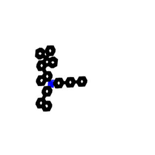 c1ccc(-c2ccc(-c3ccc(N(c4ccc(-c5cccc6ccccc56)cc4)c4ccc(-c5cccc6c5-c5ccccc5C6(c5ccccc5)c5ccccc5)c5ccccc45)cc3)cc2)cc1